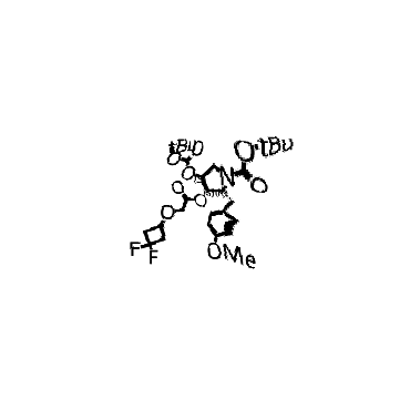 COc1ccc(C[C@@H]2[C@H](OC(=O)COC3CC(F)(F)C3)[C@@H](OC(=O)OC(C)(C)C)CN2C(=O)OC(C)(C)C)cc1